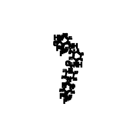 O=C(Nc1cccc(CNc2cn[nH]c(=O)c2C(F)(F)F)c1)N1CCN(c2ncc(C(F)(F)F)cn2)CC1